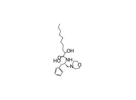 CCCCCCCC[C@@H](O)C(=O)N[C@@H](CN1CCOCC1)[C@@H](O)c1ccccc1